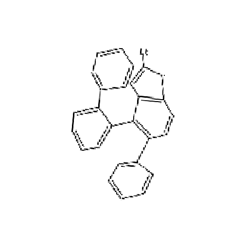 CCC1=Cc2c(ccc(-c3ccccc3)c2-c2ccccc2-c2ccccc2)[CH]1